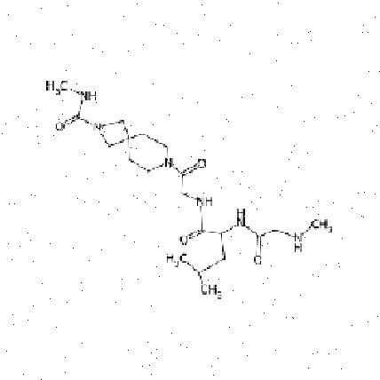 CNCC(=O)NC(CC(C)C)C(=O)NCC(=O)N1CCC2(CC1)CN(C(=O)NC)C2